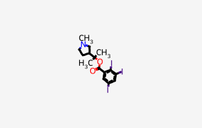 CN1CCC(C(C)(C)OC(=O)c2cc(I)cc(I)c2I)C1